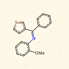 COc1ccccc1N=C(c1ccccc1)c1ccsc1